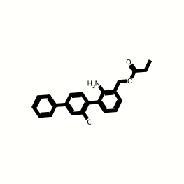 CCC(=O)OCc1cccc(-c2ccc(-c3ccccc3)cc2Cl)c1N